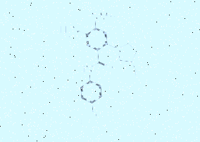 CNc1cc(N2CC[C@@H](F)C2)c(C(=O)Nc2ccc(OC(F)(F)F)cc2)cc1N